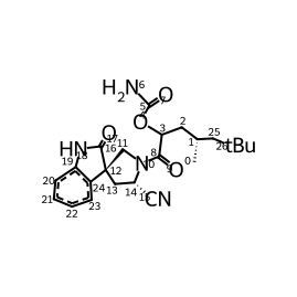 C[C@H](CC(OC(N)=O)C(=O)N1C[C@]2(C[C@H]1C#N)C(=O)Nc1ccccc12)CC(C)(C)C